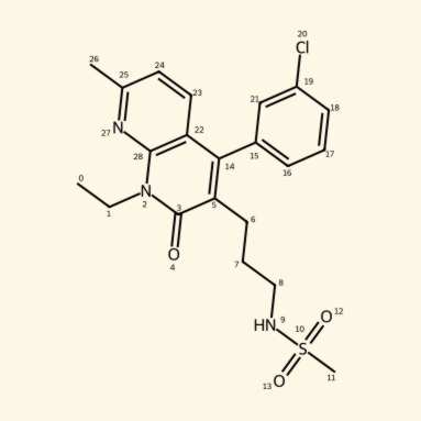 CCn1c(=O)c(CCCNS(C)(=O)=O)c(-c2cccc(Cl)c2)c2ccc(C)nc21